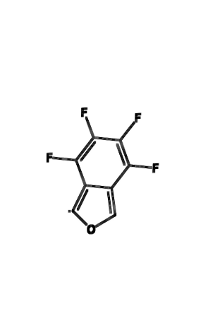 Fc1c(F)c(F)c2co[c]c2c1F